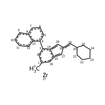 Cc1cc(-c2cccc3ccccc23)c2c(c1)=[C]C(=CC1CCCCC1)C=2.[Zr]